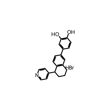 Br.Oc1ccc(-c2ccc3c(c2)CCCC3c2ccncc2)cc1O